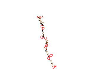 O=C(CSCCOOCSCOC(=O)CSCCOOCCSCSCO)OCCSCSCO